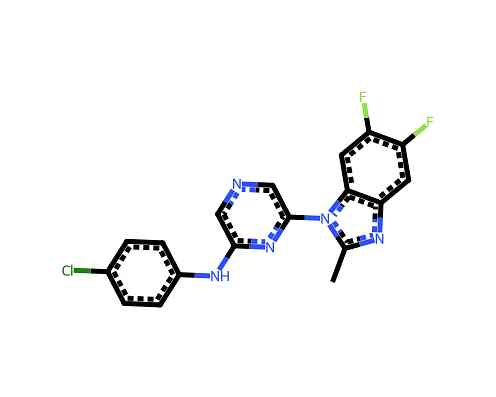 Cc1nc2cc(F)c(F)cc2n1-c1cncc(Nc2ccc(Cl)cc2)n1